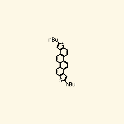 CCCCc1cc2c(ccc3c2ccc2c4ccc5sc(CCCC)cc5c4ccc32)s1